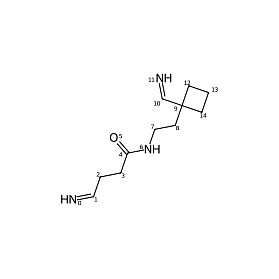 N=CCCC(=O)NCCC1(C=N)CCC1